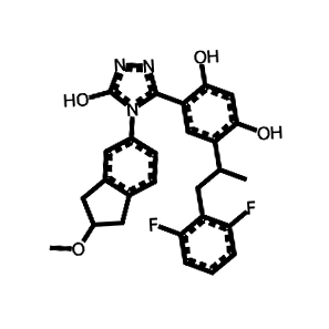 COC1Cc2ccc(-n3c(O)nnc3-c3cc(C(C)Cc4c(F)cccc4F)c(O)cc3O)cc2C1